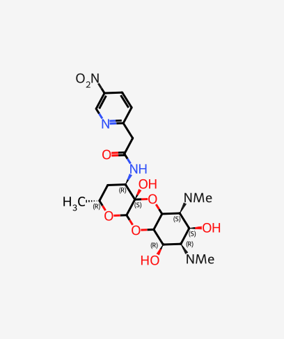 CN[C@@H]1[C@H](O)[C@H](NC)C2O[C@]3(O)C(OC2[C@@H]1O)O[C@H](C)C[C@H]3NC(=O)Cc1ccc([N+](=O)[O-])cn1